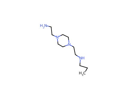 CCCNCCN1CCN(CCN)CC1